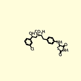 O=C1NC(=O)C(Nc2ccc(CCN(C[C@H](O)c3cccc(Cl)c3)C(=O)O)cc2)S1